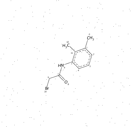 Cc1cccc(NC(=O)CBr)c1C